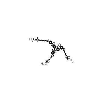 C=CC(=O)OCCCCCCCCOc1ccc(C(=O)Oc2cccc(-c3nc4ccc(OCCOCCOC(=O)C=C)cc4nc3-c3cccc(OC(=O)c4ccc(OCCCCCCOC(=O)C=C)cc4)c3)c2)cc1